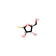 OC[C@@H]1O[C@H](S)[C@H](O)[C@H]1O